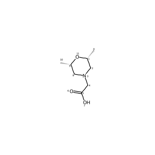 C[C@@H]1CN(CC(=O)O)C[C@H](C)O1